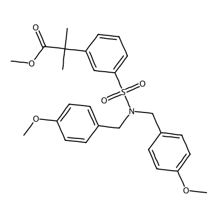 COC(=O)C(C)(C)c1cccc(S(=O)(=O)N(Cc2ccc(OC)cc2)Cc2ccc(OC)cc2)c1